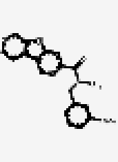 COc1cccc(CN(C)C(=O)c2ccc3c(c2)[nH]c2cnccc23)c1